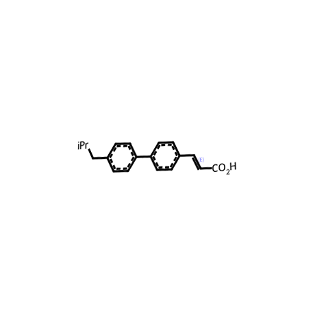 CC(C)Cc1ccc(-c2ccc(/C=C/C(=O)O)cc2)cc1